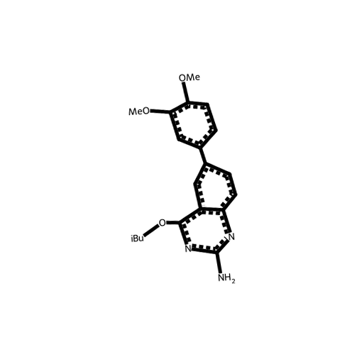 CCC(C)Oc1nc(N)nc2ccc(-c3ccc(OC)c(OC)c3)cc12